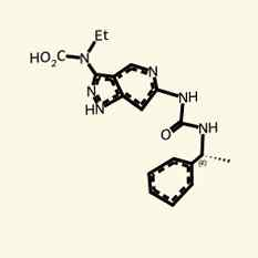 CCN(C(=O)O)c1n[nH]c2cc(NC(=O)N[C@H](C)c3ccccc3)ncc12